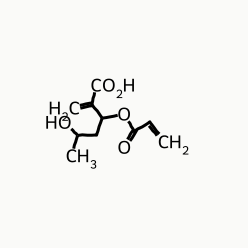 C=CC(=O)OC(CC(C)O)C(=C)C(=O)O